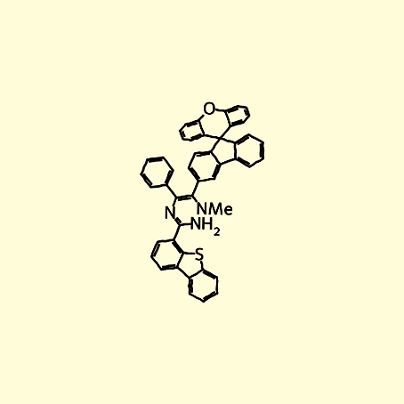 CN/C(=C(\N=C(/N)c1cccc2c1sc1ccccc12)c1ccccc1)c1ccc2c(c1)-c1ccccc1C21c2ccccc2Oc2ccccc21